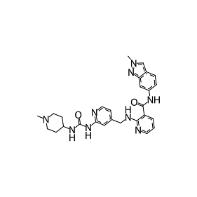 CN1CCC(NC(=O)Nc2cc(CNc3ncccc3C(=O)Nc3ccc4cn(C)nc4c3)ccn2)CC1